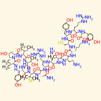 CC[C@H](C)[C@H](NC(=O)[C@@H]1C[C@@H](O)CN1C(=O)[C@@H](N)C(C)C)C(=O)N[C@H](C(=O)N[C@@H](Cc1ccc(O)cc1)C(=O)N[C@H](C(=O)N[C@@H](CC(N)=O)C(=O)N[C@@H](CCCNC(=N)N)C(=O)N[C@@H](CCN)C(=O)N[C@H](C(=O)N[C@H](CCN)C(=O)N[C@@H](CCCCN)C(=O)N[C@@H](CS)C(=O)N[C@@H](Cc1ccc(O)cc1)C(=O)N[C@@H](CCCNC(=N)N)C(=O)N[C@@H](Cc1ccc(O)cc1)C(=O)O)[C@@H](C)O)C(C)(C)S)[C@@H](C)O